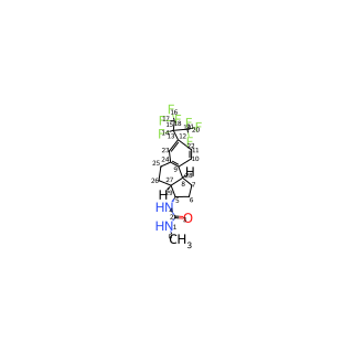 CNC(=O)N[C@@H]1CC[C@H]2c3ccc(C(F)(C(F)(F)F)C(F)(F)F)cc3CC[C@@H]12